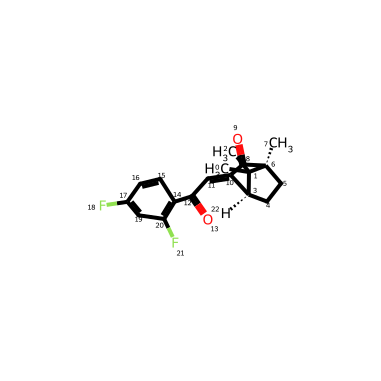 CC1(C)[C@H]2CC[C@]1(C)C(=O)/C2=C/C(=O)c1ccc(F)cc1F